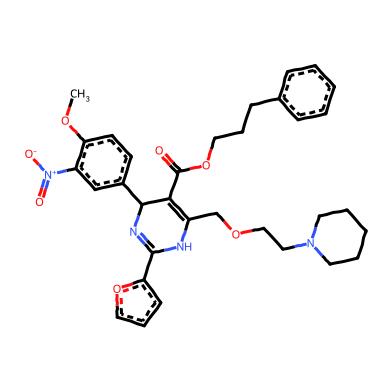 COc1ccc(C2N=C(c3ccco3)NC(COCCN3CCCCC3)=C2C(=O)OCCCc2ccccc2)cc1[N+](=O)[O-]